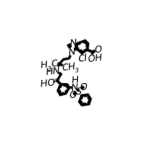 CC(C)(CCn1cnc2ccc(C(=O)O)c(Cl)c21)NC[C@@H](O)c1cccc(NS(=O)(=O)c2ccccc2)c1